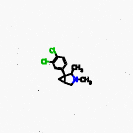 C[C@H]1N(C)CC2C[C@@]21c1ccc(Cl)c(Cl)c1